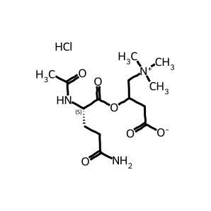 CC(=O)N[C@@H](CCC(N)=O)C(=O)OC(CC(=O)[O-])C[N+](C)(C)C.Cl